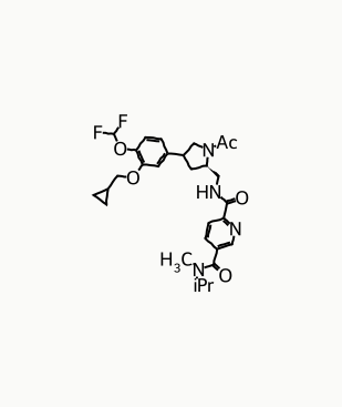 CC(=O)N1CC(c2ccc(OC(F)F)c(OCC3CC3)c2)C[C@@H]1CNC(=O)c1ccc(C(=O)N(C)C(C)C)cn1